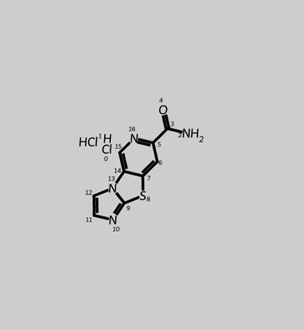 Cl.Cl.NC(=O)c1cc2sc3nccn3c2cn1